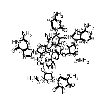 Cc1cn([C@H]2CC(OP(=O)(O)OP(=O)(OC3C(O)[C@H](n4cnc5c(=O)[nH]c(N)nc54)O[C@@H]3CN)OP(=O)(OC3C(O)[C@H](n4ccc(N)nc4=O)O[C@@H]3CN)OC3C(O)[C@H](n4cnc5c(N)ncnc54)O[C@@H]3CN)[C@@H](CN)O2)c(=O)[nH]c1=O